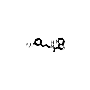 CC(NCCCc1cccc(C(F)(F)F)c1)c1csc2cccnc12